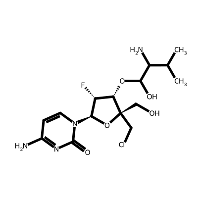 CC(C)C(N)C(O)O[C@H]1[C@@H](F)[C@H](n2ccc(N)nc2=O)O[C@@]1(CO)CCl